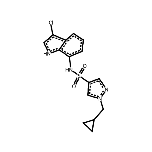 O=S(=O)(Nc1cccc2c(Cl)c[nH]c12)c1cnn(CC2CC2)c1